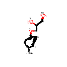 CC(C)(C)c1ccc(OCC(O)CO)cc1